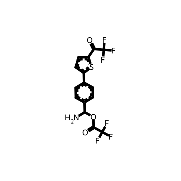 NC(OC(=O)C(F)(F)F)c1ccc(-c2ccc(C(=O)C(F)(F)F)s2)cc1